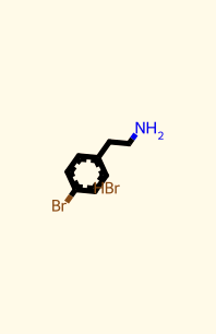 Br.NCCc1ccc(Br)cc1